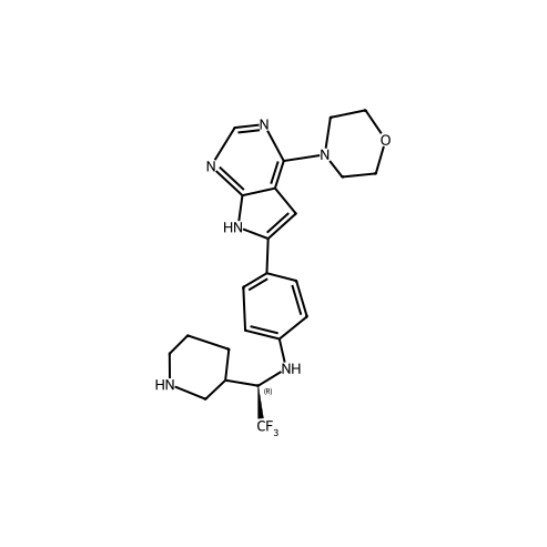 FC(F)(F)[C@H](Nc1ccc(-c2cc3c(N4CCOCC4)ncnc3[nH]2)cc1)C1CCCNC1